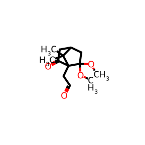 COC1(OC)CC2CC(=O)C1(CC=O)C2(C)C